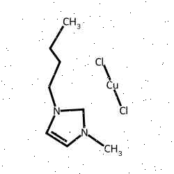 CCCCN1C=CN(C)C1.[Cl][Cu][Cl]